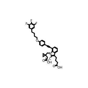 Cc1c(CCCC(=O)O)c2cccc(C#Cc3ccc(OCCCCc4cc(F)c(F)c(F)c4)cc3)c2n1CC1(CC(=O)O)CC1